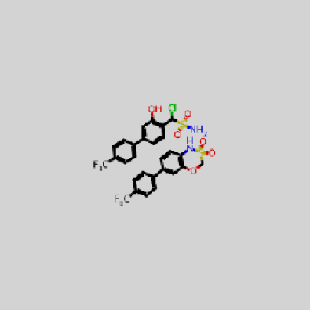 NS(=O)(=O)C(Cl)c1ccc(-c2ccc(C(F)(F)F)cc2)cc1O.O=S1(=O)COc2cc(-c3ccc(C(F)(F)F)cc3)ccc2N1